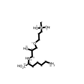 C[Si](O)(O)CCCOCC(O)CN[C@@H](CCCCN)C(=O)O